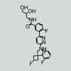 O=C(NC[C@H](O)CO)c1ccc(F)c(-c2ccc(NC[C@]3(c4ncccc4F)C[C@H](F)C3)nn2)c1